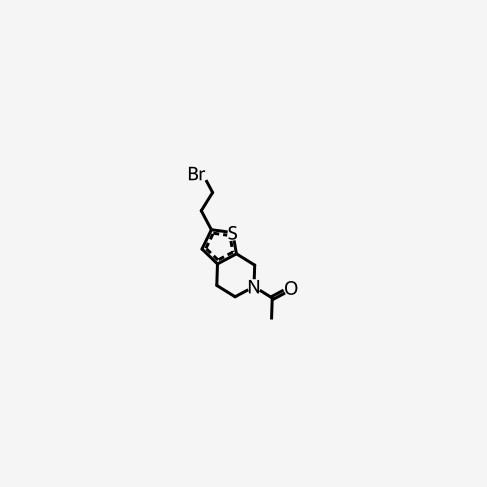 CC(=O)N1CCc2cc(CCBr)sc2C1